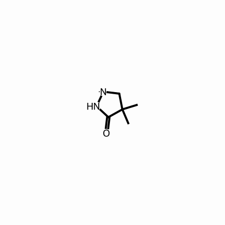 CC1(C)C[N]NC1=O